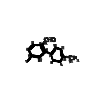 Cc1ccc(C=O)c(-c2ccc(C(F)(F)F)cc2)c1